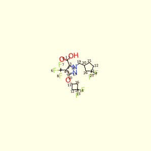 O=C(O)c1c(C(F)(F)F)c(OC2CC(F)(F)C2)nn1CC1CCC(F)(F)C1